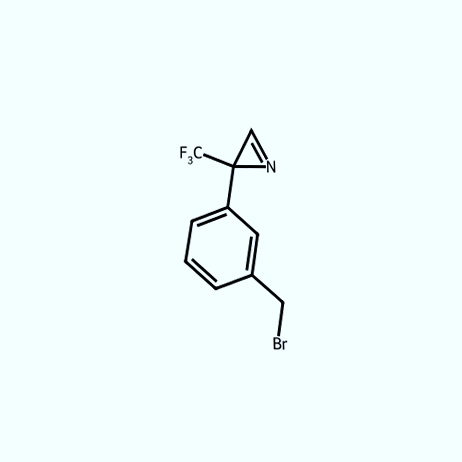 FC(F)(F)C1(c2cccc(CBr)c2)C=N1